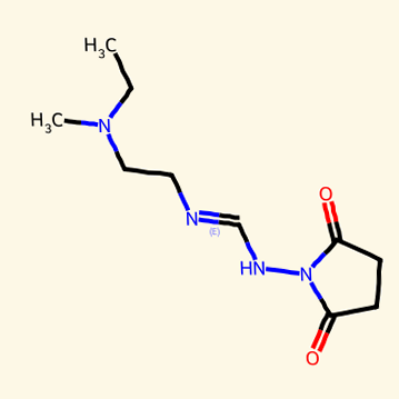 CCN(C)CC/N=C/NN1C(=O)CCC1=O